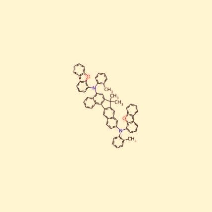 Cc1ccccc1N(c1ccc2cc3c(cc2c1)C(C)(C)c1cc(N(c2ccccc2C)c2cccc4c2oc2ccccc24)c2ccccc2c1-3)c1cccc2c1oc1ccccc12